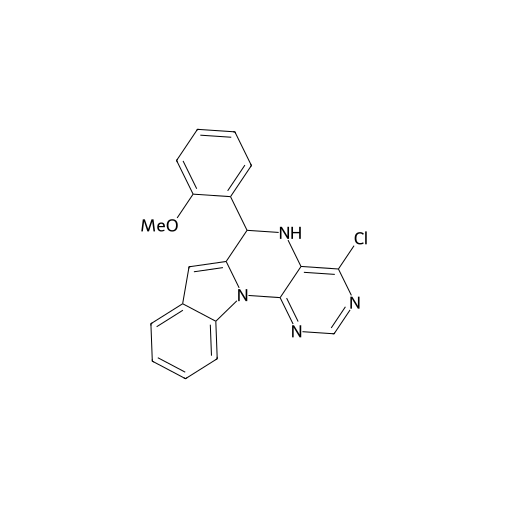 COc1ccccc1C1Nc2c(Cl)ncnc2-n2c1cc1ccccc12